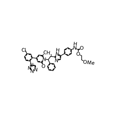 COCCOC(=O)Nc1ccc(-c2cnc(CC(c3ccccc3)n3c(C)cc(-c4cc(Cl)ccc4-n4cnnn4)cc3=O)[nH]2)cc1